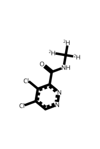 [2H]C([2H])([2H])NC(=O)c1nncc(Cl)c1Cl